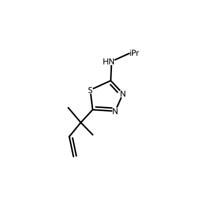 C=CC(C)(C)c1nnc(NC(C)C)s1